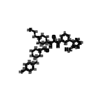 Cn1nnnc1-c1cccc(NC(=O)N[C@@H]2CCN(CCF)C[C@H]2C(=O)N2CCC[C@@H](Cc3ccc(F)cc3)C2)c1